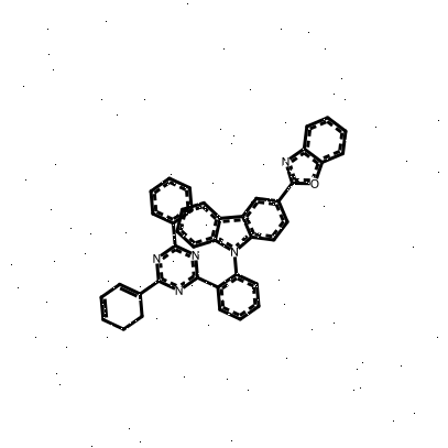 C1=CCCC(c2nc(-c3ccccc3)nc(-c3ccccc3-n3c4ccccc4c4cc(-c5nc6ccccc6o5)ccc43)n2)=C1